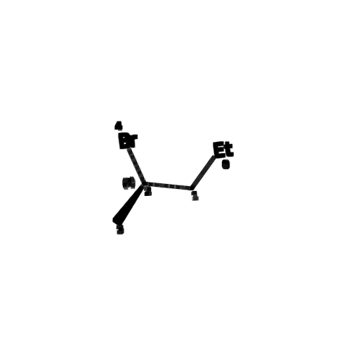 CCC[C@@H](C)Br